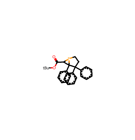 CC(C)(C)OC(=O)C1P2CCC(c3ccccc3)(c3ccccc3)C12c1ccccc1